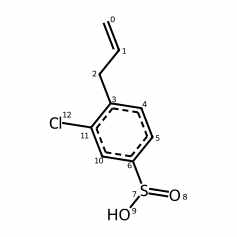 C=CCc1ccc(S(=O)O)cc1Cl